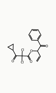 C=CC(OC(=O)C(Cl)(Cl)C(=O)C1CC1)C(=O)c1ccccc1